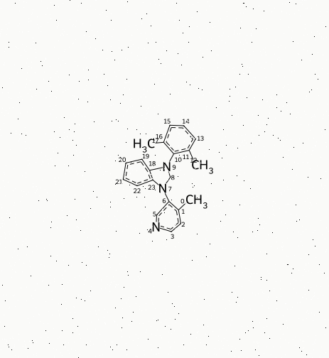 Cc1ccncc1N1CN(c2c(C)cccc2C)c2ccccc21